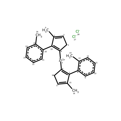 CC1=CC[C]([Zr+2][C]2=C(c3ccccc3C)C(C)=CC2)=C1c1ccccc1C.[Cl-].[Cl-]